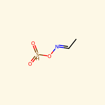 CC=NO[SH](=O)=O